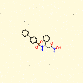 O=C(CC(NS(=O)(=O)c1ccc(-c2ccccc2)cc1)c1ccccc1)NO